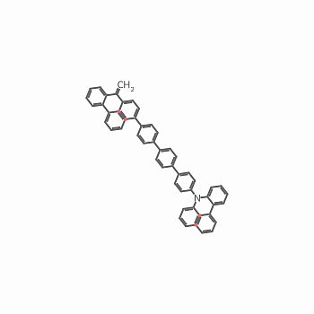 C=C(c1ccc(-c2ccc(-c3ccc(-c4ccc(N(c5ccccc5)c5ccccc5-c5ccccc5)cc4)cc3)cc2)cc1)c1ccccc1-c1ccccc1